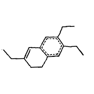 [CH2]CC1=Cc2cc(CC)c(CC)cc2CC1